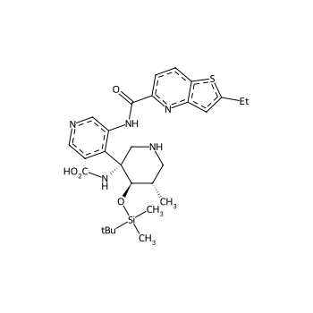 CCc1cc2nc(C(=O)Nc3cnccc3[C@@]3(NC(=O)O)CNC[C@H](C)[C@H]3O[Si](C)(C)C(C)(C)C)ccc2s1